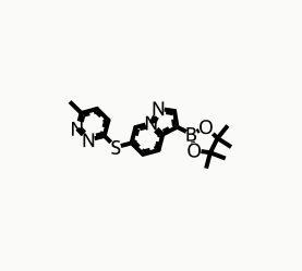 Cc1ccc(Sc2ccc3c(B4OC(C)(C)C(C)(C)O4)cnn3c2)nn1